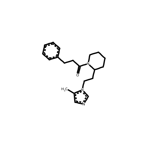 Cc1cncn1CCC1CCCCN1C(=O)CCc1ccccc1